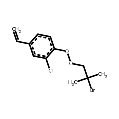 C=Cc1ccc(OOCC(C)(C)Br)c(Cl)c1